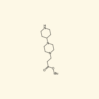 CC(C)(C)OC(=O)CCN1CCN(C2CCNCC2)CC1